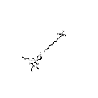 CCCCCCCCOS(=O)(=O)[O-].CCCCOC(OCC)(C(=O)OCC)n1cc[n+](C)c1